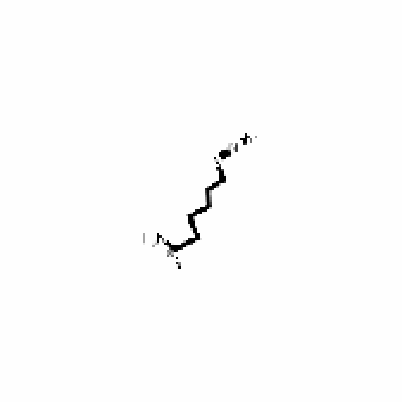 C[C@H](N)CCCCCN=[N+]=[N-]